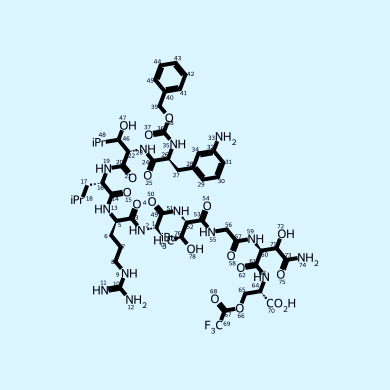 CC[C@H](C)[C@H](NC(=O)[C@@H](CCCNC(=N)N)NC(=O)[C@H](CC(C)C)NC(=O)[C@@H](NC(=O)[C@H](Cc1cccc(N)c1)NC(=O)OCc1ccccc1)C(O)C(C)C)C(=O)N[C@H](C(=O)NCC(=O)N[C@H](C(=O)N[C@@H](COC(=O)C(F)(F)F)C(=O)O)C(O)C(N)=O)[C@H](C)O